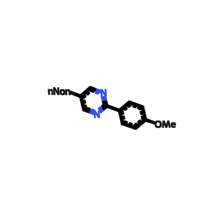 CCCCCCCCCc1cnc(-c2ccc(OC)cc2)nc1